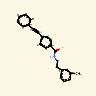 Cc1cccc(CCNC(=O)c2ccc(C#Cc3ccccc3)cc2)c1